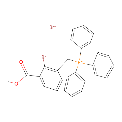 COC(=O)c1cccc(C[P+](c2ccccc2)(c2ccccc2)c2ccccc2)c1Br.[Br-]